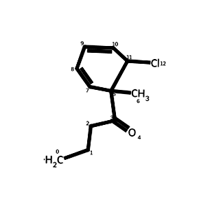 [CH2]CCC(=O)C1(C)C=CC=CC1Cl